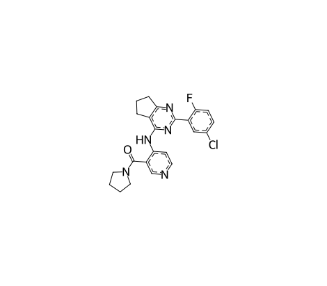 O=C(c1cnccc1Nc1nc(-c2cc(Cl)ccc2F)nc2c1CCC2)N1CCCC1